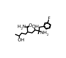 CC(O)CCC(CC(O)C(C)(N)Cc1cccc(F)c1)C(N)=O